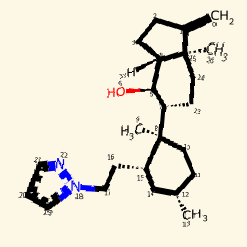 C=C1CC[C@H]2[C@H](O)[C@@H]([C@@]3(C)CC[C@H](C)C[C@@H]3CCn3cccn3)CC[C@]12C